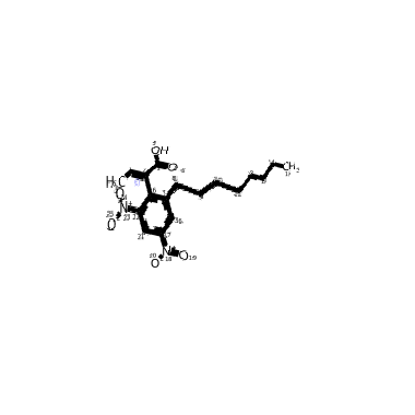 C/C=C(/C(=O)O)c1c(CCCCCCCC)cc([N+](=O)[O-])cc1[N+](=O)[O-]